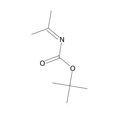 CC(C)=NC(=O)OC(C)(C)C